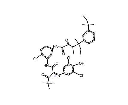 CCC(C)(C)c1cccc(C(C)(CC)C(C)C(=O)C(=O)Nc2ccc(Cl)c(NC(=O)/C(=N\c3cc(Cl)c(O)c(Cl)c3)C(=O)C(C)(C)C)c2)c1